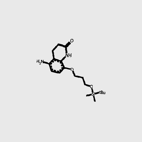 CC(C)(C)[Si](C)(C)OCCCOc1ccc(N)c2c1NC(=O)CC2